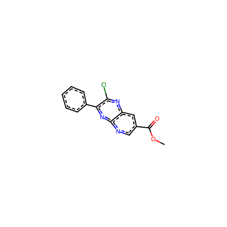 COC(=O)c1cnc2nc(-c3ccccc3)c(Cl)nc2c1